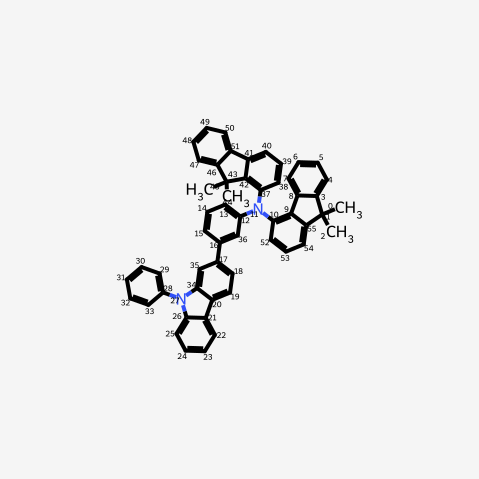 CC1(C)c2ccccc2-c2c(N(c3cccc(-c4ccc5c6ccccc6n(-c6ccccc6)c5c4)c3)c3cccc4c3C(C)(C)c3ccccc3-4)cccc21